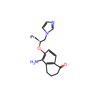 CC(C)[C@@H](Cn1ccnc1)Oc1ccc2c(c1N)CCCC2=O